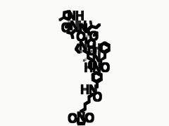 CC[C@H](C)[C@@H]([C@@H](CC(=O)N1CCC[C@H]1[C@H](OC)[C@@H](C)C(=O)N[C@@H](Cc1ccccc1)C(=O)Nc1ccc(CNC(=O)CCCCCN2C(=O)C=CC2=O)cc1)OC)N(C)C(=O)[C@@H](NC(=O)[C@H]1NCC[C@@H]1C)C(C)C